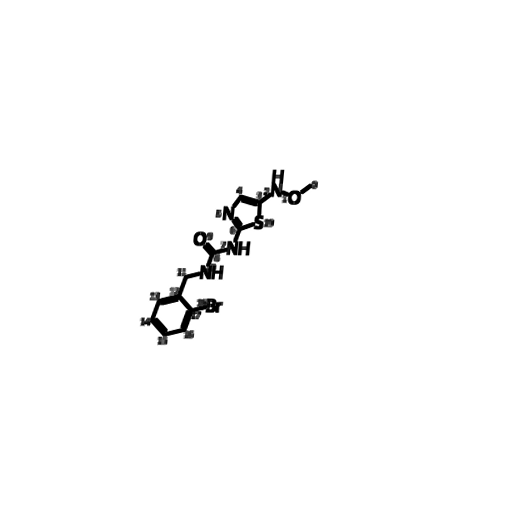 CONc1cnc(NC(=O)NCc2ccccc2Br)s1